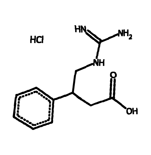 Cl.N=C(N)NCC(CC(=O)O)c1ccccc1